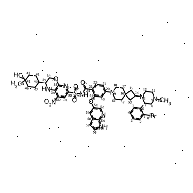 CC(C)c1ccccc1[C@@H]1CN(C)CCN1C1CC2(CCN(c3ccc(C(=O)NS(=O)(=O)c4cc([N+](=O)[O-])c5c(n4)OC[C@H](C4CCC(C)(O)CC4)N5)c(Oc4cnc5[nH]ccc5c4)c3)CC2)C1